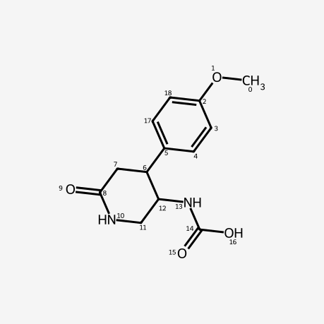 COc1ccc(C2CC(=O)NCC2NC(=O)O)cc1